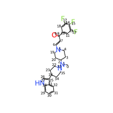 CN(C1CCN(C=CC(=O)c2cc(F)c(F)c(F)c2)CC1)N1CCC(c2c[nH]c3ccccc23)CC1